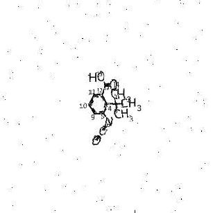 CC(C)(C)c1c(N=C=O)cccc1C(=O)O